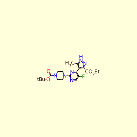 CCOC(=O)c1n[nH]c(C)c1-c1nc(N2CCN(C(=O)OC(C)(C)C)CC2)ncc1F